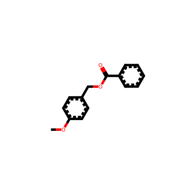 COc1ccc(COC(=O)c2ccccc2)cc1